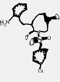 Nc1ccccc1CC1CCC(=O)CN(S(=O)(=O)c2ccc(Cl)cc2)C1=O